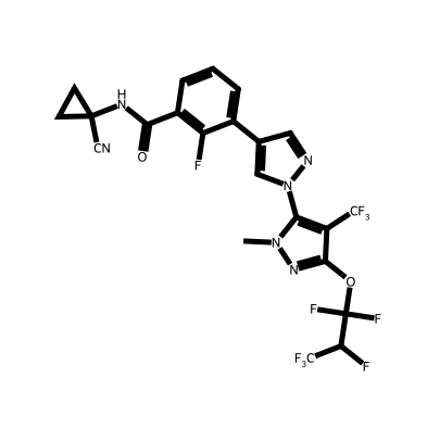 Cn1nc(OC(F)(F)C(F)C(F)(F)F)c(C(F)(F)F)c1-n1cc(-c2cccc(C(=O)NC3(C#N)CC3)c2F)cn1